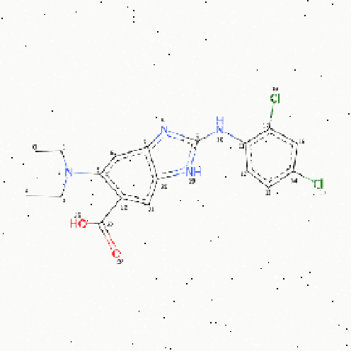 CCN(CC)c1cc2nc(Nc3ccc(Cl)cc3Cl)[nH]c2cc1C(=O)O